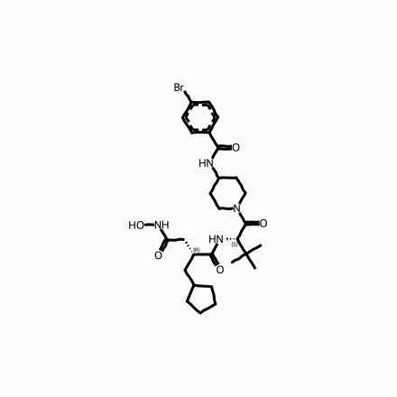 CC(C)(C)[C@H](NC(=O)[C@@H](CC(=O)NO)CC1CCCC1)C(=O)N1CCC(NC(=O)c2ccc(Br)cc2)CC1